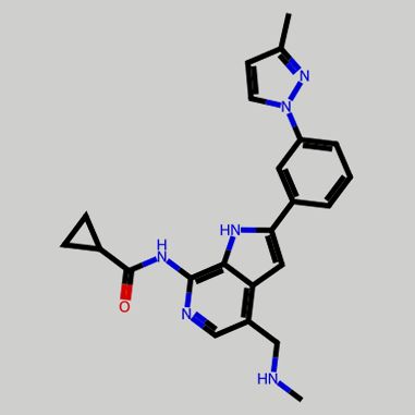 CNCc1cnc(NC(=O)C2CC2)c2[nH]c(-c3cccc(-n4ccc(C)n4)c3)cc12